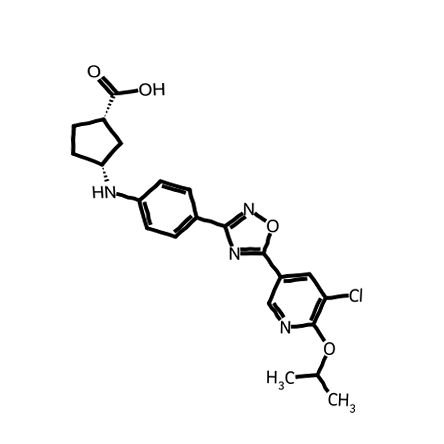 CC(C)Oc1ncc(-c2nc(-c3ccc(N[C@@H]4CC[C@H](C(=O)O)C4)cc3)no2)cc1Cl